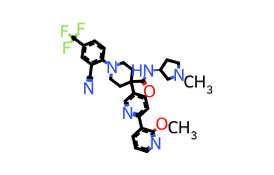 COc1ncccc1-c1ccc(C2(C(=O)N[C@H]3CCN(C)C3)CCN(c3ccc(C(F)(F)F)cc3C#N)CC2)cn1